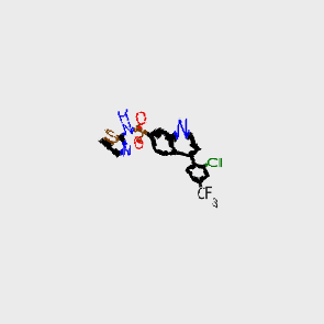 O=S(=O)(Nc1nccs1)c1ccc2c(-c3ccc(C(F)(F)F)cc3Cl)ccnc2c1